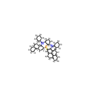 S=P12c3ccc4c(ccc5ccccc54)c3N(c3ccccc3)c3cccc(c31)N(c1ccccc1)c1c2cc2ccc3cccc4ccc1c2c34